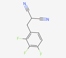 N#CC(C#N)Cc1ccc(F)c(F)c1F